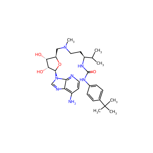 CC(C)[C@H](CCN(C)C[C@H]1O[C@@H](n2cnc3c(N)ccnc32)[C@H](O)[C@@H]1O)NC(=O)Nc1ccc(C(C)(C)C)cc1